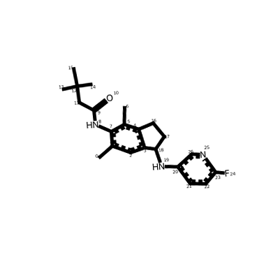 Cc1cc2c(c(C)c1NC(=O)CC(C)(C)C)CCC2Nc1ccc(F)nc1